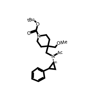 COCC1(CN(C(C)=O)[C@@H]2CC2c2ccccc2)CCN(C(=O)OC(C)(C)C)CC1